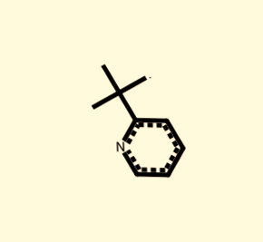 [CH2]C(C)(C)c1ccccn1